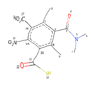 Cc1c(C(=O)N(C)C)c(C)c(C(=O)S)c([N+](=O)[O-])c1C(=O)O